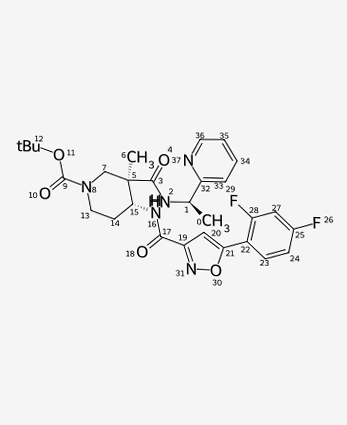 C[C@@H](NC(=O)[C@]1(C)CN(C(=O)OC(C)(C)C)CC[C@H]1NC(=O)c1cc(-c2ccc(F)cc2F)on1)c1ccccn1